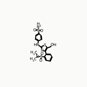 CN(C)S(=O)(=O)c1ccccc1-c1nc(Nc2ccc(S(N)(=O)=O)cc2)sc1CO